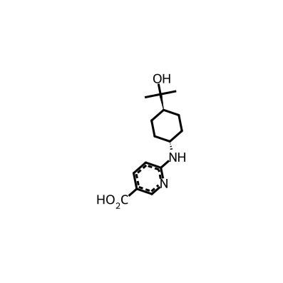 CC(C)(O)[C@H]1CC[C@H](Nc2ccc(C(=O)O)cn2)CC1